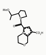 COC(C)C1CCCN1C(=O)c1cc(C(=O)O)c2n1CCOC2